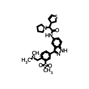 CN(C)Cc1ccc(-c2n[nH]c3ccc(NC(=O)C(C4C=CSC4)N4CCCC4)cc23)cc1S(C)(=O)=O